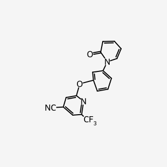 N#Cc1cc(Oc2cccc(-n3ccccc3=O)c2)nc(C(F)(F)F)c1